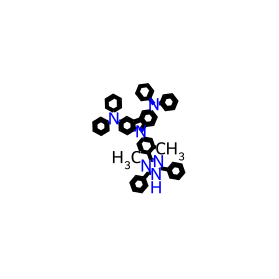 CC1=CC(n2c3ccc(N(C4=CCCC=C4)c4ccccc4)cc3c3cc(N(c4ccccc4)C4C=CC=CC4)ccc32)=CC(C)C1C1=NC(c2ccccc2)NC(c2ccccc2)=N1